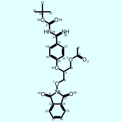 CC(=O)OCC(CON1C(=O)c2ccccc2C1=O)Oc1ccc(C(=N)NC(=O)OC(C)(C)C)cc1